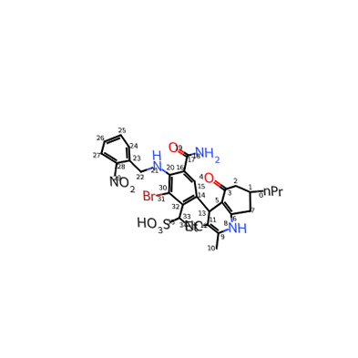 CCCC1CC(=O)C2=C(C1)NC(C)=C(C#N)C2c1cc(C(N)=O)c(NCc2ccccc2[N+](=O)[O-])c(Br)c1C(CC)S(=O)(=O)O